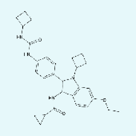 CCOc1ccc2c(c1)N(C1CCC1)C(c1ccc(NC(=O)NC3CCC3)cc1)C2NC(=O)C1CC1